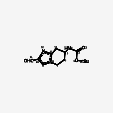 CC(C)(C)OC(=O)NC1CCn2cc(C=O)nc2C1